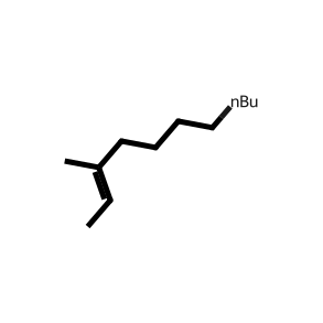 [CH2]CCCCCCCC(C)=CC